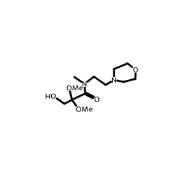 COC(CO)(OC)C(=O)N(C)CCN1CCOCC1